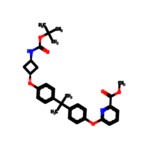 COC(=O)c1cccc(Oc2ccc(C(C)(C)c3ccc(O[C@H]4C[C@H](NC(=O)OC(C)(C)C)C4)cc3)cc2)n1